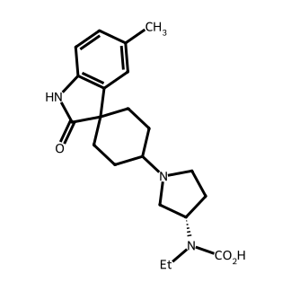 CCN(C(=O)O)[C@H]1CCN(C2CCC3(CC2)C(=O)Nc2ccc(C)cc23)C1